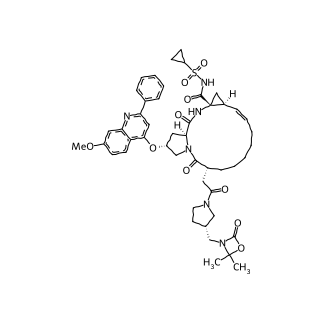 COc1ccc2c(O[C@@H]3C[C@H]4C(=O)N[C@]5(C(=O)NS(=O)(=O)C6CC6)C[C@H]5/C=C\CCCCC[C@H](CC(=O)N5CC[C@@H](CN6C(=O)OC6(C)C)C5)C(=O)N4C3)cc(-c3ccccc3)nc2c1